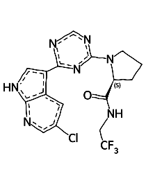 O=C(NCC(F)(F)F)[C@@H]1CCCN1c1ncnc(-c2c[nH]c3ncc(Cl)cc23)n1